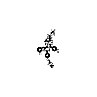 COc1ccc(C(NC(=O)C(Cc2cccc(Cl)c2)NC(=O)c2ccc(OCC(=O)OC(C)(C)C)cc2)C(=O)N[C@H](C(=O)C(F)(F)C(=O)NCC(F)(F)F)C(C)C)cc1